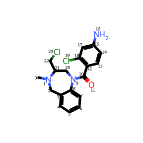 CN1Cc2ccccc2N(C(=O)c2ccc(N)cc2Cl)CC1CCl